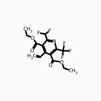 C=Cc1c(C(=O)OCC)c(C(F)F)nc(C(F)(F)F)c1C(=O)OCC